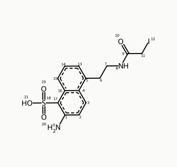 Nc1ccc2c(CCNC(=O)CI)cccc2c1S(=O)(=O)O